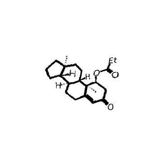 CCC(=O)O[C@H]1CC(=O)C=C2CC[C@H]3[C@@H]4CCC[C@@]4(C)CC[C@@H]3[C@]21C